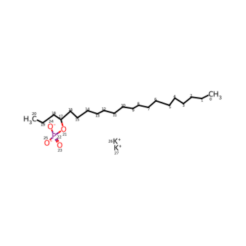 CCCCCCCCCCCCCCCCCC(CCC)OP(=O)([O-])[O-].[K+].[K+]